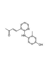 CC(=O)/C=C/c1cccnc1Nc1ccc(O)cc1C